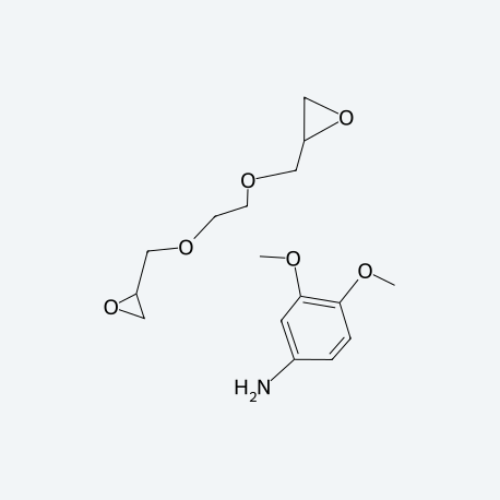 C(COCC1CO1)OCC1CO1.COc1ccc(N)cc1OC